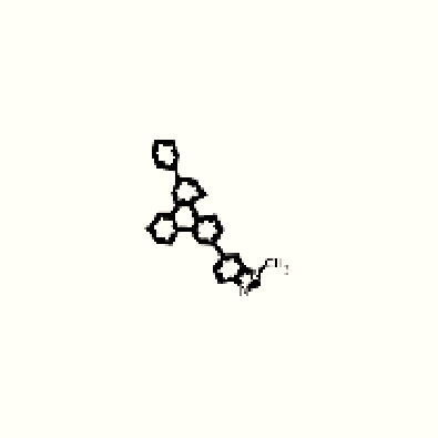 Cn1cnc2ccc(-c3ccc4c5ccc(-c6ccccc6)cc5c5ccccc5c4c3)cc21